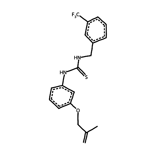 C=C(C)COc1cccc(NC(=S)NCc2cccc(C(F)(F)F)c2)c1